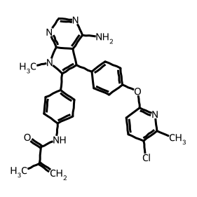 C=C(C)C(=O)Nc1ccc(-c2c(-c3ccc(Oc4ccc(Cl)c(C)n4)cc3)c3c(N)ncnc3n2C)cc1